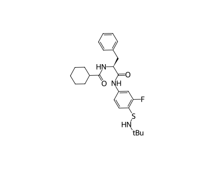 CC(C)(C)NSc1ccc(NC(=O)[C@H](Cc2ccccc2)NC(=O)C2CCCCC2)cc1F